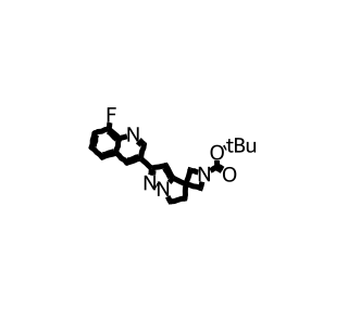 CC(C)(C)OC(=O)N1CC2(CCn3nc(-c4cnc5c(F)cccc5c4)cc32)C1